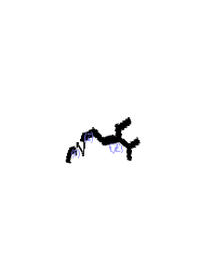 C=C\C(=C/C=C\N=C\C)C(C)C